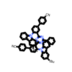 CC(C)(C)c1ccc2c(c1)c1ccccc1n2-c1ccc(-c2ccc(C#N)cc2)cc1-c1nc(-c2ccccc2)nc(-c2cc(-c3ccc(C#N)cc3)ccc2-n2c3ccccc3c3cc(C(C)(C)C)ccc32)n1